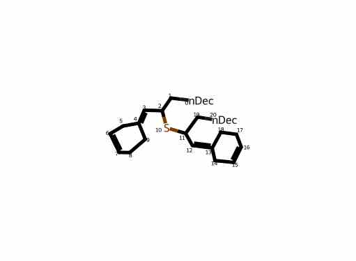 CCCCCCCCCCCC(C=C1CC=CCC1)SC(C=C1CC=CCC1)CCCCCCCCCCC